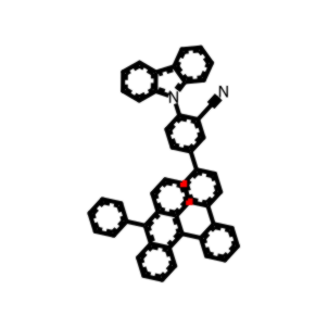 N#Cc1cc(-c2ccc(-c3ccccc3-c3c4ccccc4c(-c4ccccc4)c4ccccc34)cc2)ccc1-n1c2ccccc2c2ccccc21